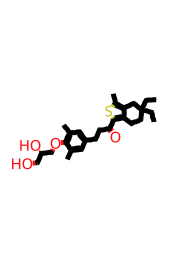 CCC1(CC)CCc2c(C(=O)CCc3cc(C)c(OC[C@@H](O)CO)c(C)c3)sc(C)c2C1